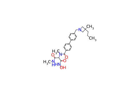 CCCC1(C)CN(Cc2ccc(-c3ccc(C(=O)N(C)C(C(=O)NC)C(=O)NO)cc3)cc2)C1